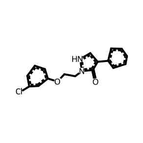 O=c1c(-c2ccccc2)c[nH]n1CCOc1cccc(Cl)c1